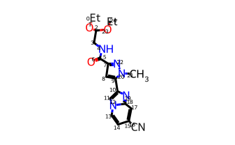 CCOC(CNC(=O)c1cc(-c2cn3ccc(C#N)cc3n2)n(C)n1)OCC